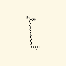 CCC(O)CCCCCCCC=CC=CC=CC(=O)O